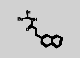 CC[C@H](C)[C@H](NC(=O)CCc1ccc2ccccc2c1)C(C)=O